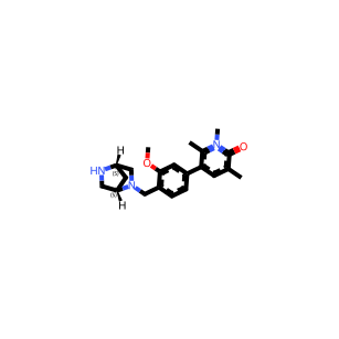 COc1cc(-c2cc(C)c(=O)n(C)c2C)ccc1CN1C[C@@H]2C[C@H]1CN2